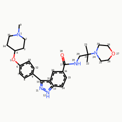 CN1CCC(Oc2ccc(-c3n[nH]c4ccc(C(=O)NCC(C)(C)N5CCOCC5)cc34)cc2)CC1